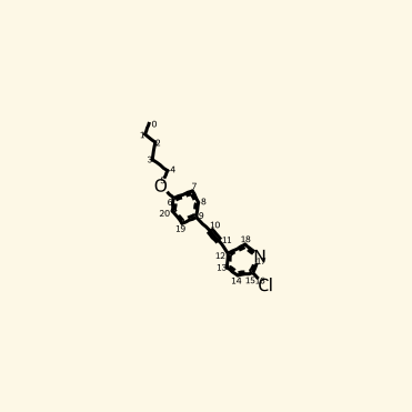 CCCCCOc1ccc(C#Cc2ccc(Cl)nc2)cc1